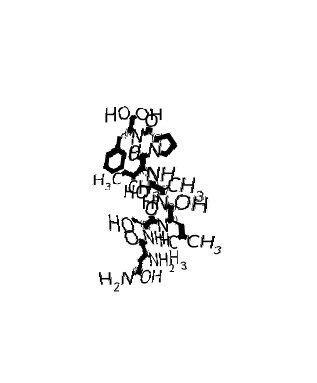 CCC(C)[C@@H](N[C@@H](O)[C@H](C)N[C@H](O)[C@@H](CC(C)C)NC(=O)[C@H](CO)NC(=O)[C@H](N)C[C@H](N)O)C(=O)N1CCC[C@H]1C(=O)N[C@H](CC1=CCCCC1)C(O)O